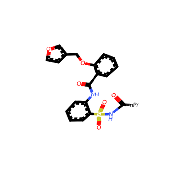 CCCC(=O)NS(=O)(=O)c1ccccc1NC(=O)c1ccccc1OCc1ccoc1